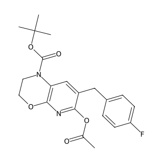 CC(=O)Oc1nc2c(cc1Cc1ccc(F)cc1)N(C(=O)OC(C)(C)C)CCO2